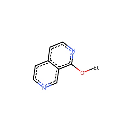 CCOc1nccc2ccncc12